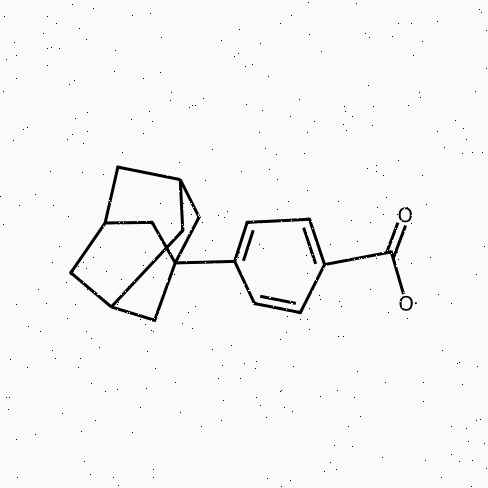 [O]C(=O)c1ccc(C23CC4CC(CC(C4)C2)C3)cc1